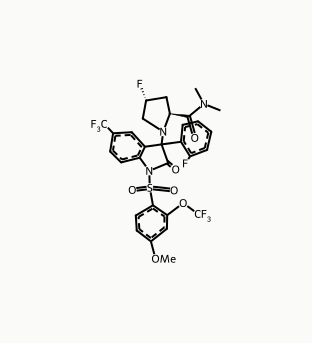 COc1ccc(S(=O)(=O)N2C(=O)C(c3ccccc3F)(N3C[C@H](F)C[C@H]3C(=O)N(C)C)c3cc(C(F)(F)F)ccc32)c(OC(F)(F)F)c1